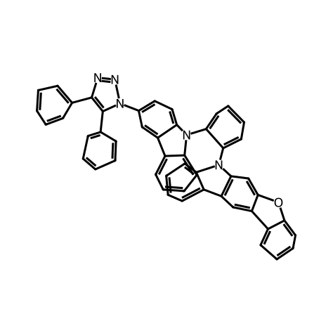 c1ccc(-c2nnn(-c3ccc4c(c3)c3ccccc3n4-c3ccccc3-n3c4ccccc4c4cc5c(cc43)oc3ccccc35)c2-c2ccccc2)cc1